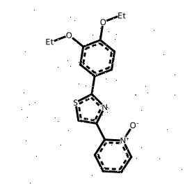 CCOc1ccc(-c2nc(-c3cccc[n+]3[O-])cs2)cc1OCC